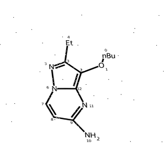 CCCCOc1c(CC)nn2ccc(N)nc12